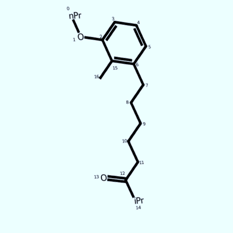 CCCOc1cccc(CCCCCC(=O)C(C)C)c1C